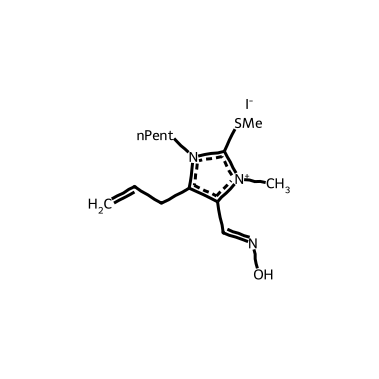 C=CCc1c(C=NO)[n+](C)c(SC)n1CCCCC.[I-]